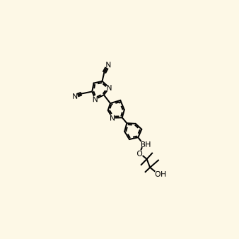 CC(C)(O)C(C)(C)OBc1ccc(-c2ccc(-c3nc(C#N)cc(C#N)n3)cn2)cc1